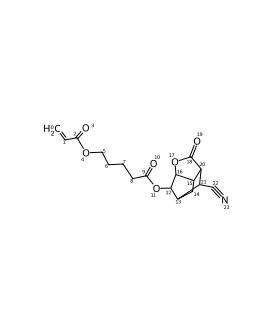 C=CC(=O)OCCCCC(=O)OC1C2CC3C1OC(=O)C3C2C#N